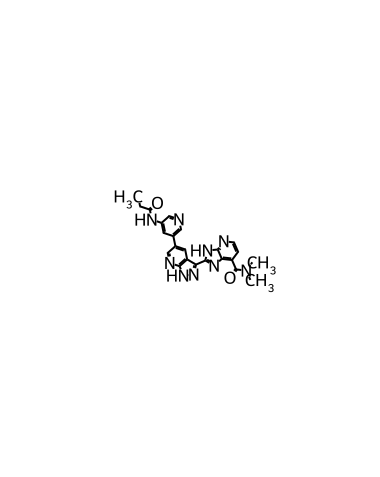 CCC(=O)Nc1cncc(-c2cnc3[nH]nc(-c4nc5c(C(=O)N(C)C)ccnc5[nH]4)c3c2)c1